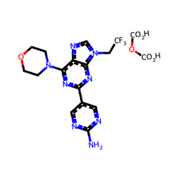 Nc1ncc(-c2nc(N3CCOCC3)c3ncn(CC(F)(F)F)c3n2)cn1.O=C(O)OC(=O)O